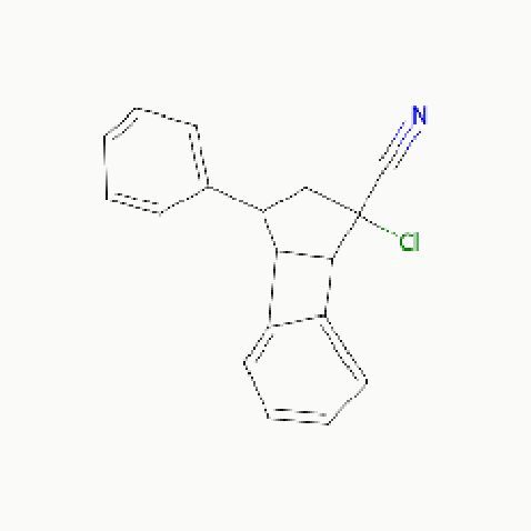 N#CC1(Cl)CC(c2ccccc2)C2c3ccccc3C21